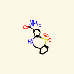 NC(=O)c1ccc2c(c1)NCc1ccccc1S2(=O)=O